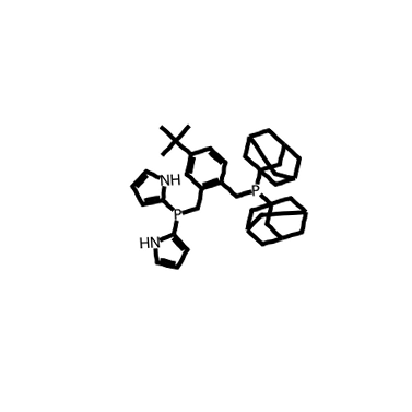 CC(C)(C)c1ccc(CP(C23CC4CC(CC(C4)C2)C3)C23CC4CC(CC(C4)C2)C3)c(CP(c2ccc[nH]2)c2ccc[nH]2)c1